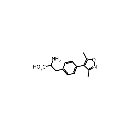 Cc1noc(C)c1-c1ccc(CC(N)C(=O)O)cc1